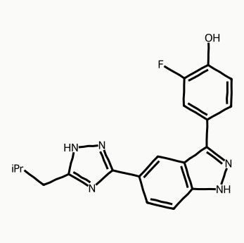 CC(C)Cc1nc(-c2ccc3[nH]nc(-c4ccc(O)c(F)c4)c3c2)n[nH]1